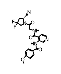 COc1ccc(C(=O)Nc2cnccc2C(=O)NCC(=O)N2CC(F)(F)C[C@H]2C#N)cc1